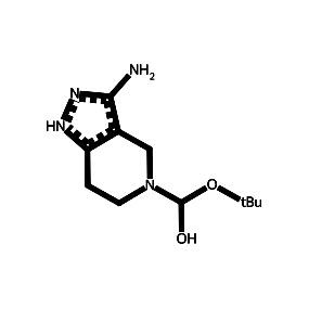 CC(C)(C)OC(O)N1CCc2[nH]nc(N)c2C1